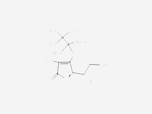 CCCCCCCCC(CCCCCC)(CCCCCC)C(CCCCCC)(CCCCCC)OC1=C(O)C(=O)O[C@@H]1[C@@H](O)CO